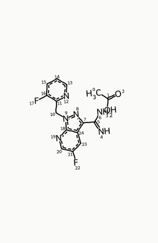 CC(=O)O.N=C(N)c1nn(Cc2ncccc2F)c2ncc(F)cc12